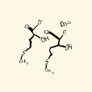 CSCCC(O)C(=O)[O-].CSCCC(O)C(=O)[O-].[Zn+2]